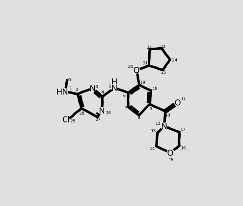 CNc1nc(Nc2ccc(C(=O)N3CCOCC3)cc2OC2CCCC2)ncc1Cl